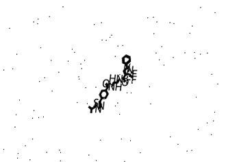 CC(C)c1nnc(C2CCC(C(=O)NCCNC(=O)c3cn(-c4ccccc4)nc3C(F)(F)F)CC2)s1